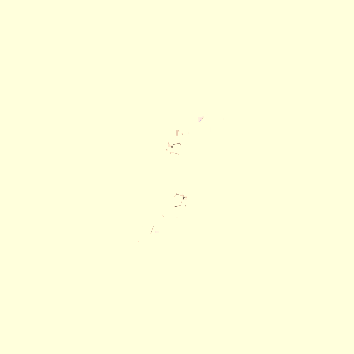 C/C=C(\C)CC(=O)Bc1nnc(CCCCc2nnc(NC(=O)C/C(C)=C/C)s2)s1